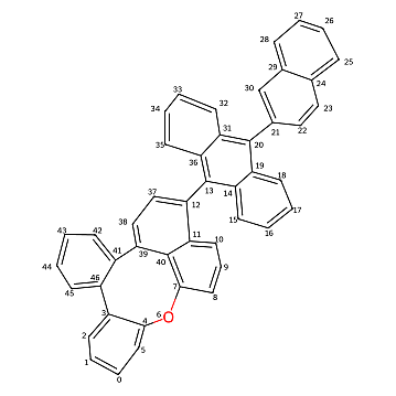 c1ccc2c(c1)Oc1cccc3c(-c4c5ccccc5c(-c5ccc6ccccc6c5)c5ccccc45)ccc(c13)-c1ccccc1-2